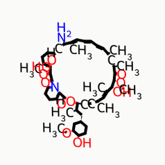 CO[C@@H]1C[C@H](C[C@@H](C)[C@@H]2CC[C@H](C)/C=C(\C)[C@@H](O)[C@@H](OC)C(=O)[C@H](C)C[C@H](C)/C=C/C=C/C=C(\C)[C@@H](N)C[C@@H]3CC[C@@H](C)[C@@](O)(O3)C(=O)C(=O)N3CCCC[C@H]3C(=O)O2)CC[C@H]1O